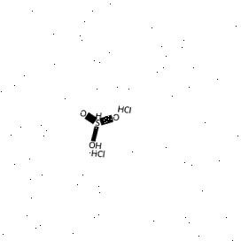 Cl.Cl.O=[SH](=O)O